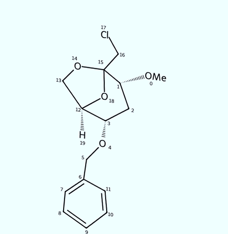 CO[C@@H]1C[C@H](OCc2ccccc2)[C@H]2COC1(CCl)O2